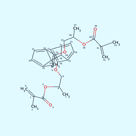 C=C(C)C(=O)OC(C)COC1=CC2=CC=C1C2C1(C)C2=CC=C1C(OCC(C)OC(=O)C(=C)C)=C2